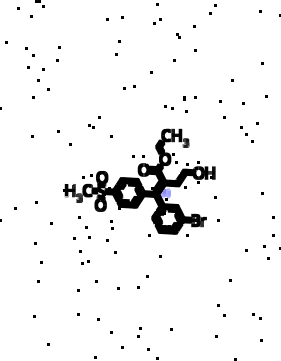 CCOC(=O)/C(CCO)=C(\c1ccc(S(C)(=O)=O)cc1)c1cccc(Br)c1